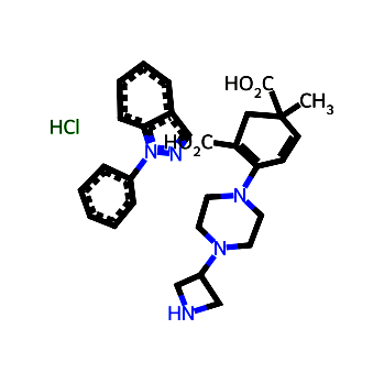 CC1(C(=O)O)C=CC(N2CCN(C3CNC3)CC2)=C(C(=O)O)C1.Cl.c1ccc(-n2ncc3ccccc32)cc1